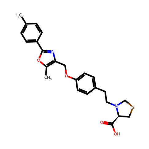 Cc1ccc(-c2nc(COc3ccc(CCN4CSC[C@H]4C(=O)O)cc3)c(C)o2)cc1